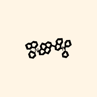 c1ccc(N(c2ccccc2)c2ccc(-c3ccc4ccc5c(N(c6ccccc6)c6cccc7ccccc67)ccc6ccc3c4c65)c3ccccc23)cc1